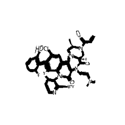 C=CC(=O)N1C[C@@H]2C(=O)N(CCN(C)C)c3c(c4cc(Cl)c(-c5c(O)cccc5F)c(F)c4n(-c4c(C)ccnc4C(C)C)c3=O)N2C[C@H]1C